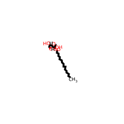 CCCCCCCCCCCCCCCCCC(=O)O[C@@]1(O)CO[C@@H]2[C@H](O)CO[C@@H]21